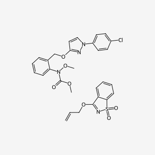 C=CCOC1=NS(=O)(=O)c2ccccc21.COC(=O)N(OC)c1ccccc1COc1ccn(-c2ccc(Cl)cc2)n1